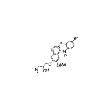 COc1cc2c(Nc3ccc(Br)cc3F)ncnc2cc1OCC(O)CN(C)C